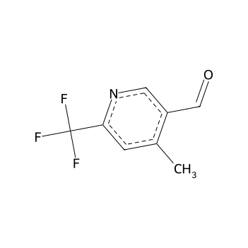 Cc1cc(C(F)(F)F)ncc1C=O